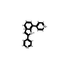 c1cc(-c2ccncc2)c2sc(-c3ccncc3)cc2c1